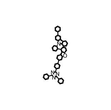 c1ccc(-c2ccc3c(c2)c2ccccc2n3-c2ccccc2-c2cccc3oc4cc(-c5ccc(-c6nc(-c7ccccc7)nc(-c7ccccc7)n6)cc5)ccc4c23)cc1